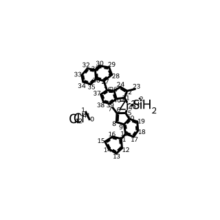 CC.C[SiH2][Zr+2]([CH]1C(C)=Cc2c(-c3ccccc3)cccc21)[CH]1C(C)=Cc2c(-c3cccc4ccccc34)cccc21.[Cl-].[Cl-]